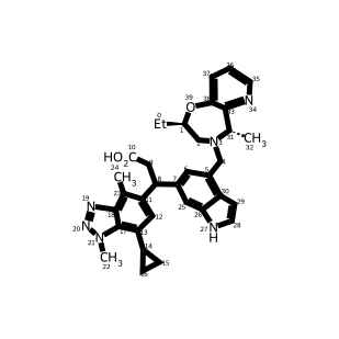 CC[C@@H]1CN(Cc2cc(C(CC(=O)O)c3cc(C4CC4)c4c(nnn4C)c3C)cc3[nH]ccc23)[C@@H](C)c2ncccc2O1